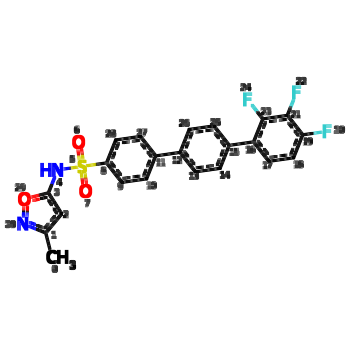 Cc1cc(NS(=O)(=O)c2ccc(-c3ccc(-c4ccc(F)c(F)c4F)cc3)cc2)on1